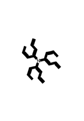 C=C/C=C(\C=C/C)N(C(/C=C\C)=C/C=C)C(/C=C\C)=C/C=C